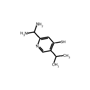 CC(C)c1cnc(C(N)N)cc1S